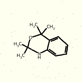 CC1(C)Nc2ccccc2C(C)(C)O1